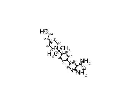 CC(C)(c1ccc(-c2cnc(N)c(C(N)=O)c2)cc1)N1CCN(CCO)CC1